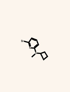 CN(c1cccc(Br)n1)C1CCC1